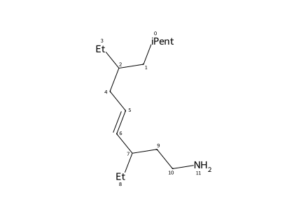 CCCC(C)CC(CC)C/C=C/C(CC)CCN